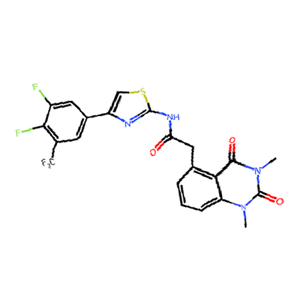 Cn1c(=O)c2c(CC(=O)Nc3nc(-c4cc(F)c(F)c(C(F)(F)F)c4)cs3)cccc2n(C)c1=O